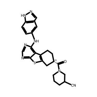 N#CC1CCCN(C(=O)[C@H]2CCc3c(sc4ncnc(Nc5ccc6[nH]ncc6c5)c34)C2)C1